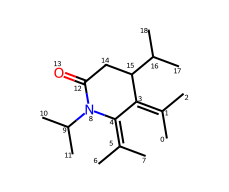 CC(C)=C1C(=C(C)C)N(C(C)C)C(=O)CC1C(C)C